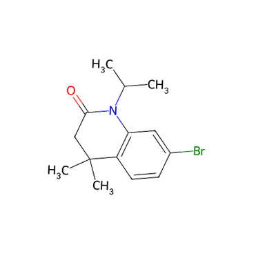 CC(C)N1C(=O)CC(C)(C)c2ccc(Br)cc21